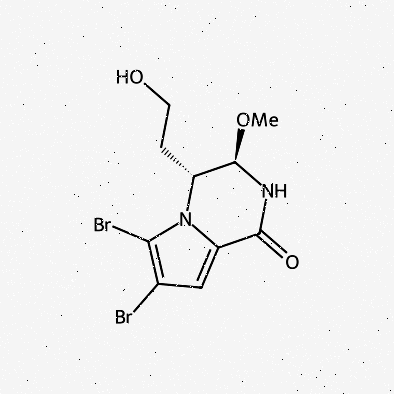 CO[C@H]1NC(=O)c2cc(Br)c(Br)n2[C@@H]1CCO